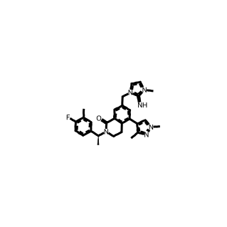 Cc1cc([C@H](C)N2CCc3c(cc(Cn4ccn(C)c4=N)cc3-c3cn(C)nc3C)C2=O)ccc1F